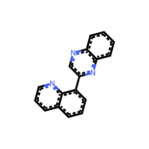 c1cnc2c(-c3cnc4ccccc4n3)cccc2c1